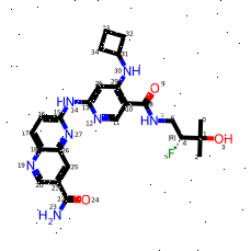 CC(C)(O)[C@H](F)CNC(=O)c1cnc(Nc2ccc3ncc(C(N)=O)cc3n2)cc1NC1CCC1